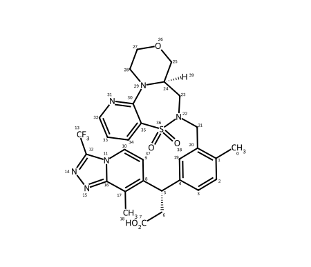 Cc1ccc([C@H](CC(=O)O)c2ccn3c(C(F)(F)F)nnc3c2C)cc1CN1C[C@@H]2COCCN2c2ncccc2S1(=O)=O